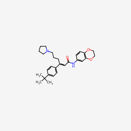 CC(C)(C)c1ccc(/C(=C/C(=O)Nc2ccc3c(c2)OCCO3)CCCN2CCCC2)cc1